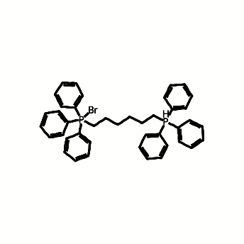 BrP(CCCCCC[PH](c1ccccc1)(c1ccccc1)c1ccccc1)(c1ccccc1)(c1ccccc1)c1ccccc1